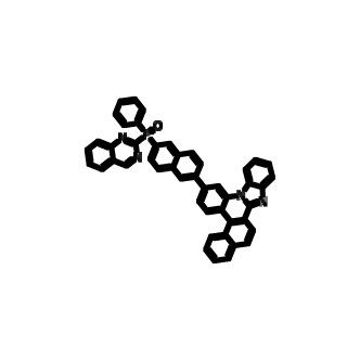 O=P(c1ccccc1)(c1ccc2cc(-c3ccc4c5c6ccccc6ccc5c5nc6ccccc6n5c4c3)ccc2c1)c1ncc2ccccc2n1